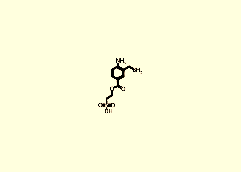 BCc1cc(C(=O)OCCS(=O)(=O)O)ccc1N